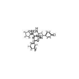 CNC(CC(N=O)c1ccc(Cl)cc1)N/C(=N\C(=O)c1cccc(F)c1)NC1CCCC1